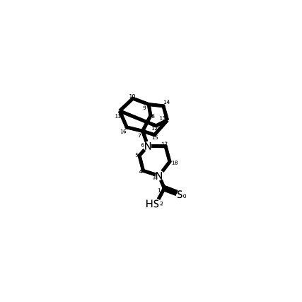 S=C(S)N1CCN(C23CC4CC(CC(C4)C2)C3)CC1